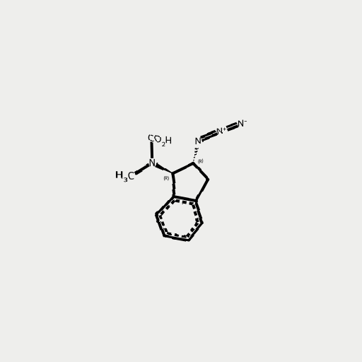 CN(C(=O)O)[C@@H]1c2ccccc2C[C@H]1N=[N+]=[N-]